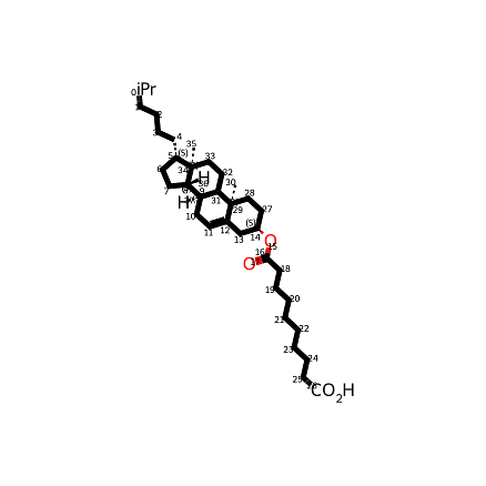 CC(C)CCCC[C@H]1CC[C@H]2[C@@H]3CC=C4C[C@@H](OC(=O)CCCCCCCCC(=O)O)CC[C@]4(C)C3CC[C@]12C